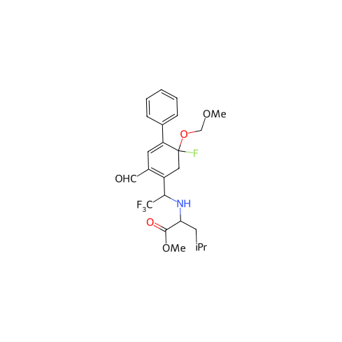 COCOC1(F)CC(C(NC(CC(C)C)C(=O)OC)C(F)(F)F)=C(C=O)C=C1c1ccccc1